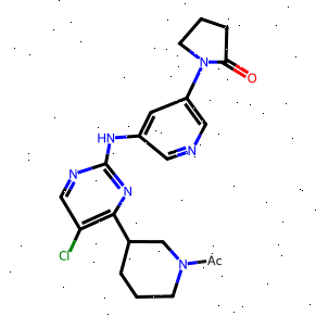 CC(=O)N1CCCC(c2nc(Nc3cncc(N4CCCC4=O)c3)ncc2Cl)C1